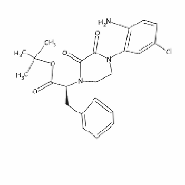 CC(C)(C)OC(=O)[C@H](Cc1ccccc1)N1CCN(c2cc(Cl)ccc2N)C(=O)C1=O